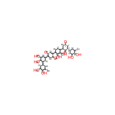 O=C1C=C(c2cc(O)c(O)c(I)c2)C(=O)C(c2ccc(C3=CC(=O)C(c4cc(O)c(O)c(-c5cc(O)c(O)c(I)c5)c4)=CC3=O)c(O)c2O)=C1